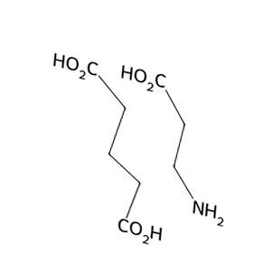 NCCC(=O)O.O=C(O)CCCC(=O)O